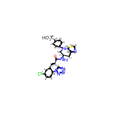 O=C(/C=C/c1cc(Cl)ccc1-n1cnnn1)NC(CNc1ccc(C(=O)O)cc1)Cc1cscn1